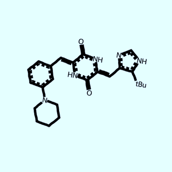 CC(C)(C)c1[nH]cnc1/C=c1\[nH]c(=O)/c(=C/c2cccc(N3CCCCC3)c2)[nH]c1=O